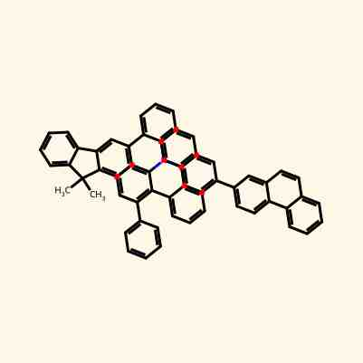 CC1(C)c2ccccc2-c2cc(-c3ccccc3N(c3ccc(-c4ccc5c(ccc6ccccc65)c4)cc3)c3cccc(-c4ccccc4)c3-c3ccccc3-c3ccccc3)ccc21